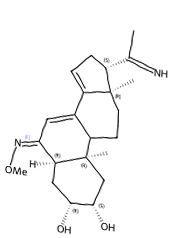 CO/N=C1/C=C2C3=CC[C@H](C(C)=N)[C@@]3(C)CCC2[C@@]2(C)C[C@H](O)[C@H](O)C[C@@H]12